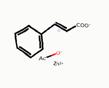 CC(=O)[O-].O=C([O-])/C=C/c1ccccc1.[Zn+2]